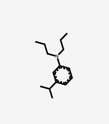 CCCN(CCC)c1cccc(C(C)C)c1